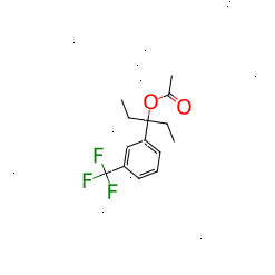 CCC(CC)(OC(C)=O)c1cccc(C(F)(F)F)c1